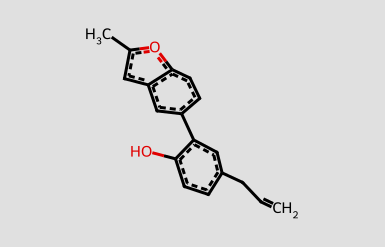 C=CCc1ccc(O)c(-c2ccc3oc(C)cc3c2)c1